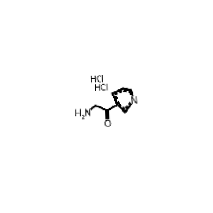 Cl.Cl.NCC(=O)c1cccnc1